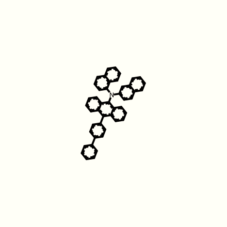 c1ccc(-c2ccc(-c3c4ccccc4c(N(c4ccc5ccccc5c4)c4cccc5ccccc45)c4ccccc34)cc2)cc1